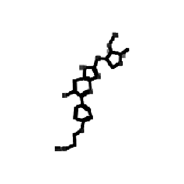 CCO[C@@H]1C(Oc2nc3nc(-c4ccc(OCCOC)cc4)c(Cl)cc3[nH]2)CO[C@@H]1C